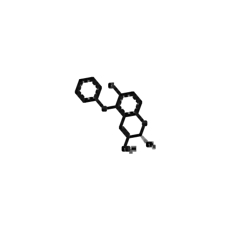 O=C(O)C1=Cc2c(ccc(Cl)c2Oc2ccccc2)O[C@@H]1C(F)(F)F